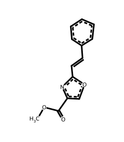 COC(=O)c1coc(/C=C/c2ccccc2)n1